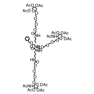 CC(=O)N[C@H]1[C@H](OCCOCCOCCOCC(=O)NCCCC[C@H](NC(=O)COCCOCCOCCO[C@@H]2O[C@H](COC(C)=O)[C@H](OC(C)=O)[C@H](OC(C)=O)[C@H]2NC(C)=O)C(=O)N[C@@H](CCCCNC(=O)COCCOCCOCCO[C@H]2C[C@@H](OC(C)=O)[C@@H](OC(C)=O)[C@@H](COC(C)=O)O2)C(=O)OCc2ccccc2)O[C@H](COC(C)=O)[C@H](OC(C)=O)[C@@H]1OC(C)=O